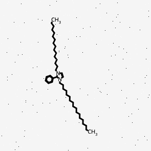 CCCCCCCCCCCCCCCCCCN1C=CN(CCCCCCCCCCCCCCCC)C1c1ccccc1